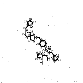 O=S(=O)(c1ccc(CN2CCC3(CCN(Cc4cccs4)C3)C2)cc1)N(Cc1ncc[nH]1)Cc1ncc[nH]1